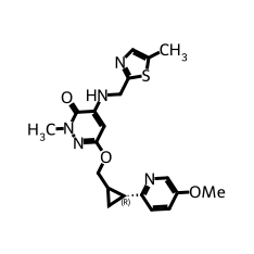 COc1ccc([C@@H]2CC2COc2cc(NCc3ncc(C)s3)c(=O)n(C)n2)nc1